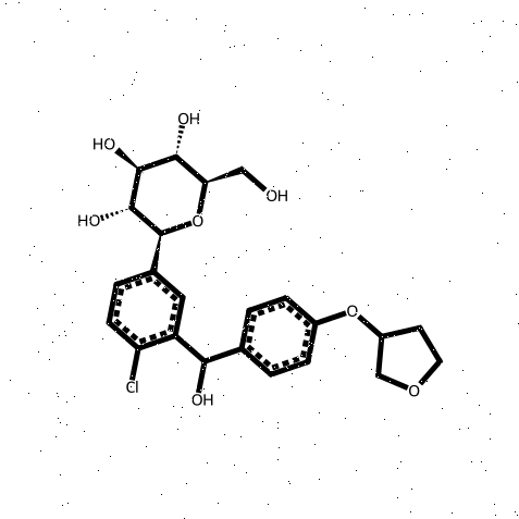 OC[C@H]1O[C@@H](c2ccc(Cl)c(C(O)c3ccc(OC4CCOC4)cc3)c2)[C@H](O)[C@@H](O)[C@@H]1O